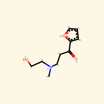 CN(CCO)CCC(=O)c1ccco1